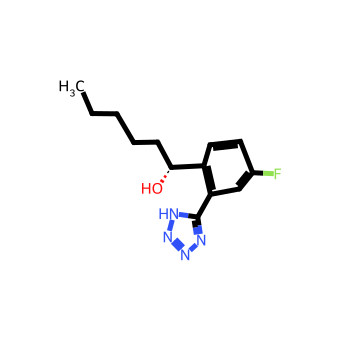 CCCCC[C@@H](O)c1ccc(F)cc1-c1nnn[nH]1